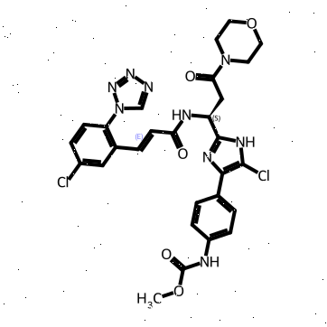 COC(=O)Nc1ccc(-c2nc([C@H](CC(=O)N3CCOCC3)NC(=O)/C=C/c3cc(Cl)ccc3-n3cnnn3)[nH]c2Cl)cc1